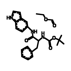 CC(C)(C)OC(=O)NC(Cc1ccccc1)C(=O)Nc1ccc2[nH]ccc2c1.CCOC=O